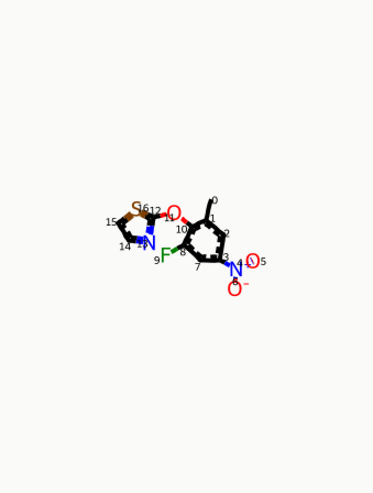 Cc1cc([N+](=O)[O-])cc(F)c1Oc1nccs1